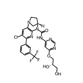 O=C(Nc1cc(OC[C@@H](O)CO)ncn1)N1c2nc(-c3cccc(C(F)(F)F)c3)c(Cl)cc2N2CC[C@H]1C2